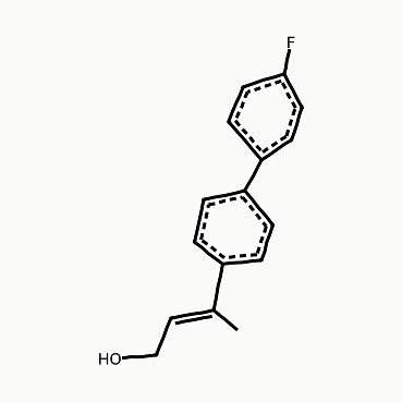 C/C(=C\CO)c1ccc(-c2ccc(F)cc2)cc1